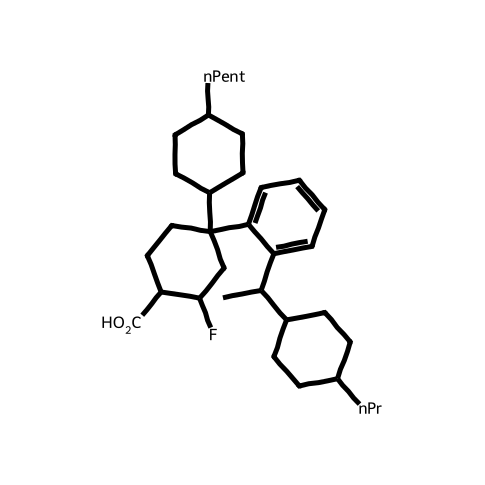 CCCCCC1CCC(C2(c3ccccc3C(C)C3CCC(CCC)CC3)CCC(C(=O)O)C(F)C2)CC1